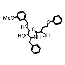 COc1cccc(CNC[C@H](O)[C@H](Cc2ccccc2)NC(=O)C(O)CCSc2ccccc2)c1